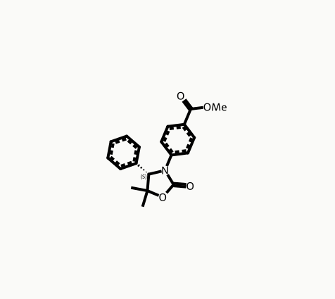 COC(=O)c1ccc(N2C(=O)OC(C)(C)[C@@H]2c2ccccc2)cc1